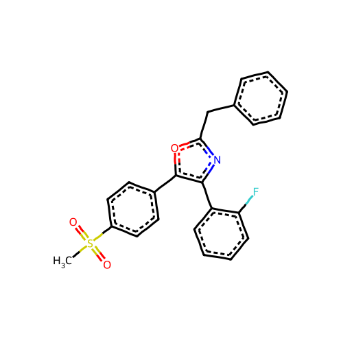 CS(=O)(=O)c1ccc(-c2oc(Cc3ccccc3)nc2-c2ccccc2F)cc1